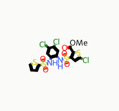 COC(=O)c1sc(Cl)cc1S(=O)(=O)Nc1cc(Cl)c(Cl)cc1NS(=O)(=O)c1cccs1